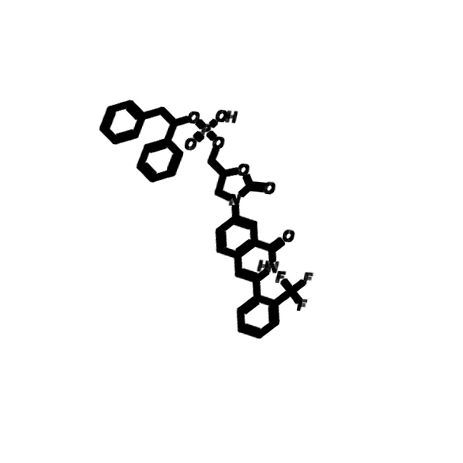 O=C1OC(COP(=O)(O)OC(Cc2ccccc2)c2ccccc2)CN1c1ccc2cc(-c3ccccc3C(F)(F)F)[nH]c(=O)c2c1